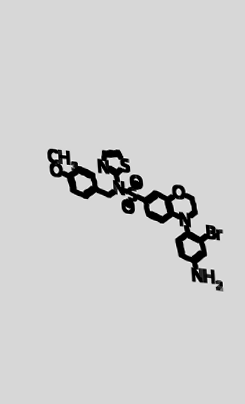 COc1ccc(CN(c2nccs2)S(=O)(=O)c2ccc3c(c2)OCCN3c2ccc(N)cc2Br)cc1